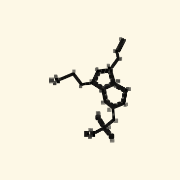 C=CCn1cc(CCN)c2cc(CS(N)(=O)=O)ccc21